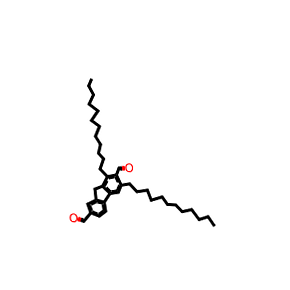 CCCCCCCCCCCCc1cc2c(c(CCCCCCCCCCCC)c1C=O)Cc1cc(C=O)ccc1-2